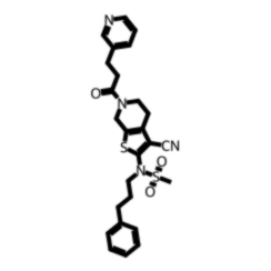 CS(=O)(=O)N(CCCc1ccccc1)c1sc2c(c1C#N)CCN(C(=O)CCc1cccnc1)C2